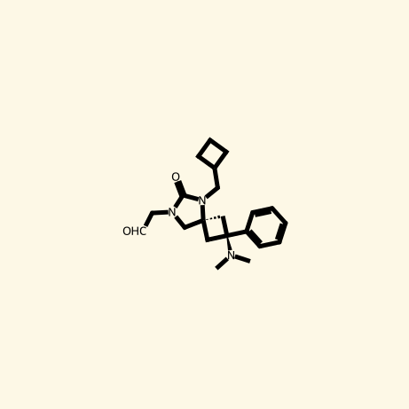 CN(C)[C@]1(c2ccccc2)C[C@@]2(CN(CC=O)C(=O)N2CC2CCC2)C1